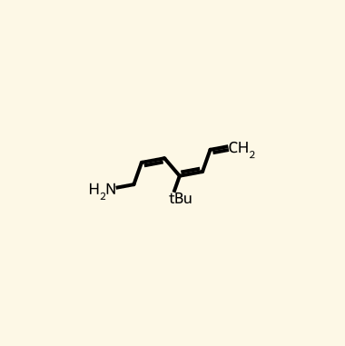 C=C/C=C(\C=C/CN)C(C)(C)C